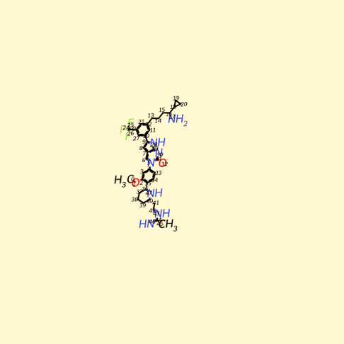 COc1cc(-n2cc3cc(-c4cc(CCC[C@@H](N)C5CC5)cc(C(F)(F)F)c4)[nH]c3nc2=O)ccc1[C@@H]1CCC[C@@H](CCNC(C)=N)N1